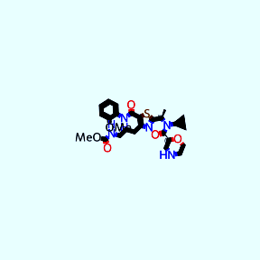 COC(=O)NCCCc1nc([C@@H](C)N(C(=O)[C@H]2CNCCO2)C2CC2)sc1C(=O)Nc1ccccc1OC